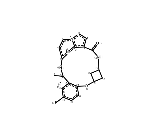 C[C@H]1Nc2ccn3ncc(c3n2)C(=O)NC2CC(C2)Oc2ccc(F)cc21